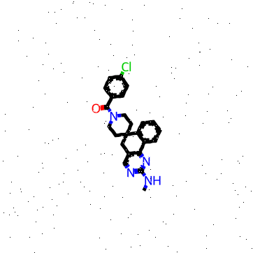 CNc1ncc2c(n1)-c1ccccc1C1(CCN(C(=O)c3ccc(Cl)cc3)CC1)C2